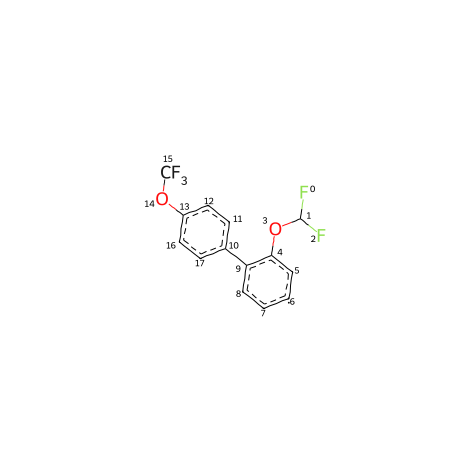 FC(F)Oc1c[c]ccc1-c1ccc(OC(F)(F)F)cc1